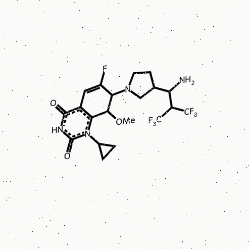 COC1c2c(c(=O)[nH]c(=O)n2C2CC2)C=C(F)C1N1CCC(C(N)C(C(F)(F)F)C(F)(F)F)C1